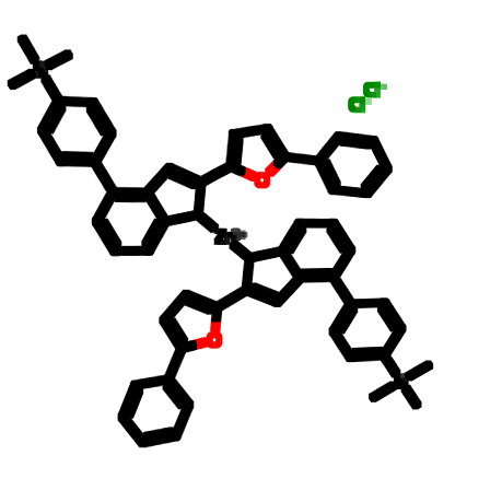 C[Si](C)(C)c1ccc(-c2cccc3c2C=C(c2ccc(-c4ccccc4)o2)[CH]3[Zr+2][CH]2C(c3ccc(-c4ccccc4)o3)=Cc3c(-c4ccc([Si](C)(C)C)cc4)cccc32)cc1.[Cl-].[Cl-]